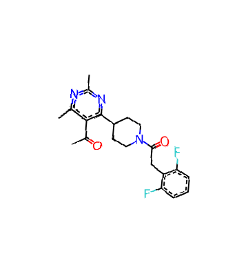 CC(=O)c1c(C)nc(C)nc1C1CCN(C(=O)Cc2c(F)cccc2F)CC1